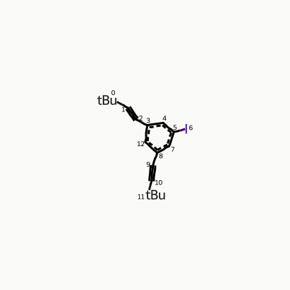 CC(C)(C)C#Cc1cc(I)cc(C#CC(C)(C)C)c1